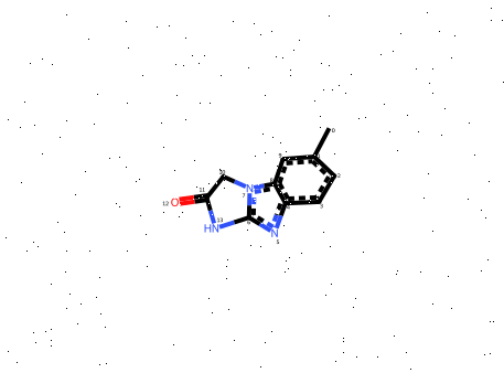 Cc1ccc2nc3n(c2c1)CC(=O)N3